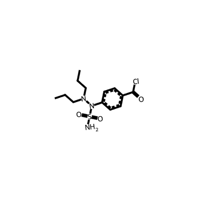 CCCN(CCC)N(c1ccc(C(=O)Cl)cc1)S(N)(=O)=O